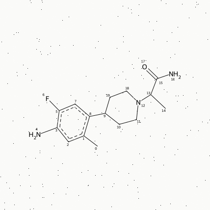 Cc1cc(N)c(F)cc1C1CCN(C(C)C(N)=O)CC1